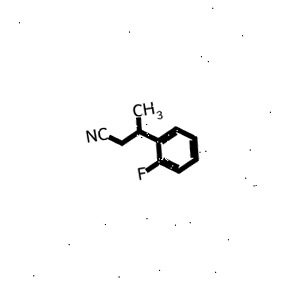 CC(CC#N)c1ccccc1F